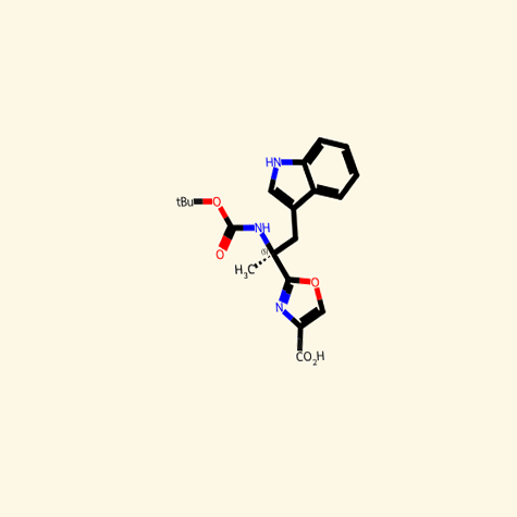 CC(C)(C)OC(=O)N[C@@](C)(Cc1c[nH]c2ccccc12)c1nc(C(=O)O)co1